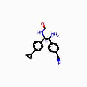 N#Cc1ccc(/C(N)=C(/NC=O)c2ccc(C3CC3)cc2)cc1